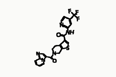 O=C(Nc1cc(C(F)(F)F)ccn1)c1csc2c1CCN(C(=O)c1cnc3ccccn13)C2